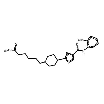 COC(=O)CCCCCN1CCC(c2nc(C(=O)Nc3ccccc3C(C)(C)C)cs2)CC1